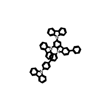 C1=CC2C(C=C1c1ccccc1)c1cc(-n3c4ccccc4c4ccccc43)cc(-n3c4ccccc4c4ccccc43)c1N2c1ccc(-c2ccc(-n3c4ccccc4c4ccccc43)cc2)cc1